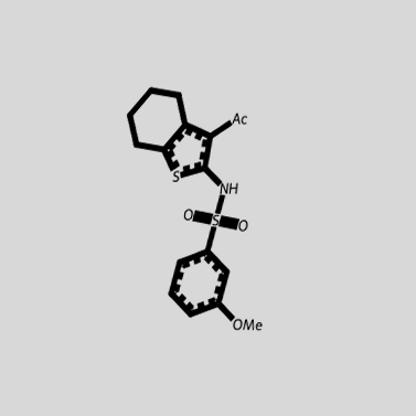 COc1cccc(S(=O)(=O)Nc2sc3c(c2C(C)=O)CCCC3)c1